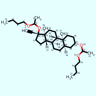 C#C[C@]1(OC(C)OCCCC)CC[C@H]2[C@@H]3CC[C@@H]4C[C@@H](OC(C)OCCCC)CC[C@]4(C)[C@H]3CC[C@@]21C